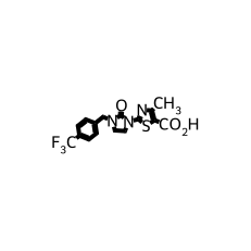 Cc1nc(N2CCN(Cc3ccc(C(F)(F)F)cc3)C2=O)sc1C(=O)O